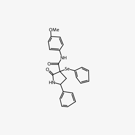 COc1ccc(NC(=O)C2([Se]c3ccccc3)CC(c3ccccc3)NC2=O)cc1